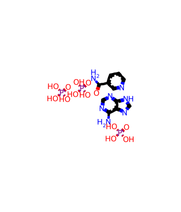 NC(=O)c1cccnc1.Nc1ncnc2[nH]cnc12.O=P(O)(O)O.O=P(O)(O)O.O=P(O)(O)O